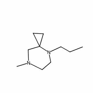 CCCN1CCN(C)CC12CC2